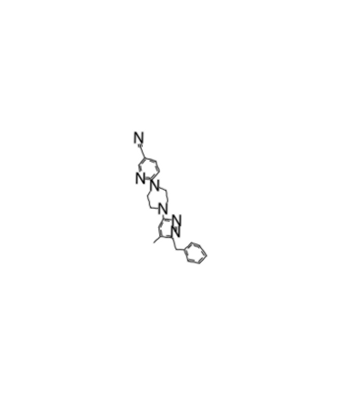 Cc1cc(N2CCN(c3ccc(C#N)cn3)CC2)nnc1Cc1ccccc1